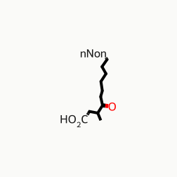 CCCCCCCCCCCCCCCC(=O)C(C)CC(=O)O